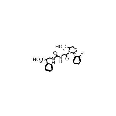 O=C(NCC(=O)N1C(C(=O)O)CS[C@@H]1c1ccccc1F)NC[C@@H](C(=O)O)c1ccccc1